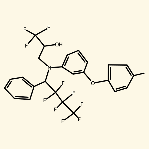 Cc1ccc(Oc2cccc(N(CC(O)C(F)(F)F)C(c3ccccc3)C(F)(F)C(F)(F)C(F)(F)F)c2)cc1